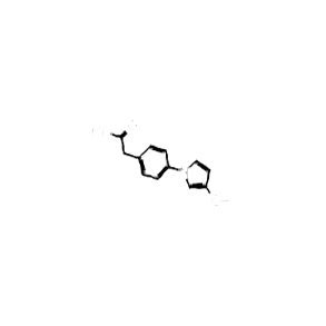 Cc1ccn(-c2ccc(CC(=O)O)cc2)c1